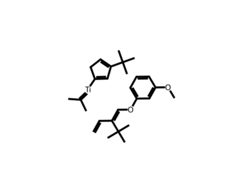 C=CC(=COc1cccc(OC)c1)C(C)(C)C.C[C](C)=[Ti][C]1=CC(C(C)(C)C)=CC1